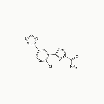 NC(=O)c1ccc(-c2cc(-c3cnco3)ccc2Cl)s1